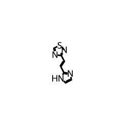 C(=Cc1ncc[nH]1)c1ncsn1